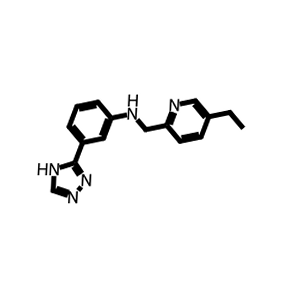 CCc1ccc(CNc2cccc(-c3nnc[nH]3)c2)nc1